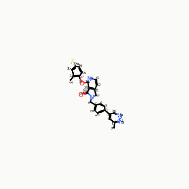 Cc1cc(-c2ccc(CN3Cc4ccnc(Oc5ccc(F)cc5C)c4C3=O)cc2)cnn1